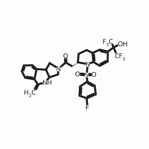 C=C1NC2CN(C(=O)C[C@@H]3CCc4cc(C(O)(C(F)(F)F)C(F)(F)F)ccc4N3S(=O)(=O)c3ccc(F)cc3)CC2c2ccccc21